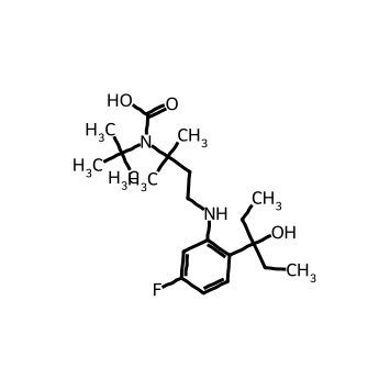 CCC(O)(CC)c1ccc(F)cc1NCCC(C)(C)N(C(=O)O)C(C)(C)C